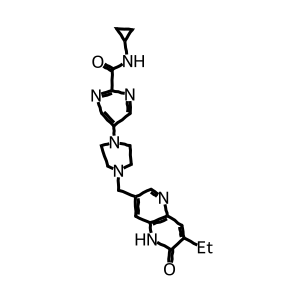 CCc1cc2ncc(CN3CCN(c4cnc(C(=O)NC5CC5)nc4)CC3)cc2[nH]c1=O